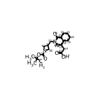 CC(C)(C)OC(=O)N1CC(Cn2nc(CC(=O)O)c3ccccc3c2=O)C1